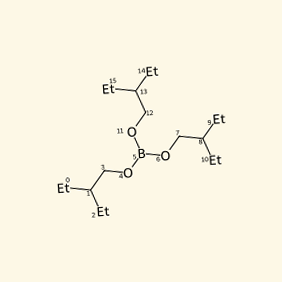 CCC(CC)COB(OCC(CC)CC)OCC(CC)CC